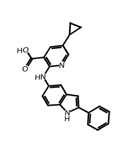 O=C(O)c1cc(C2CC2)cnc1Nc1ccc2[nH]c(-c3ccccc3)cc2c1